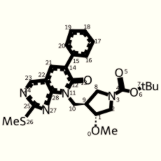 CO[C@H]1CN(C(=O)OC(C)(C)C)C[C@@H]1Cn1c(=O)c(-c2ccccc2)cc2cnc(SC)nc21